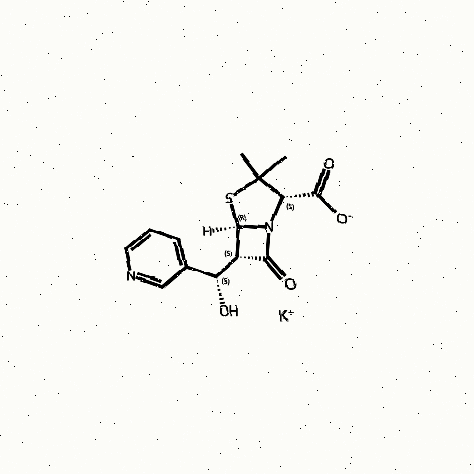 CC1(C)S[C@@H]2[C@@H]([C@H](O)c3cccnc3)C(=O)N2[C@H]1C(=O)[O-].[K+]